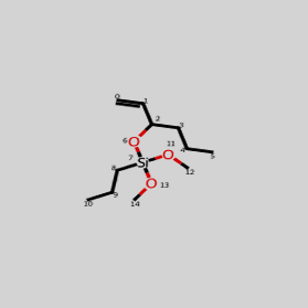 C=CC(CCC)O[Si](CCC)(OC)OC